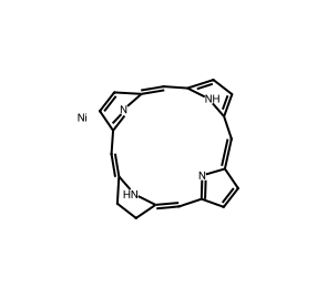 C1=Cc2cc3ccc(cc4nc(cc5[nH]c(cc1n2)CC5)C=C4)[nH]3.[Ni]